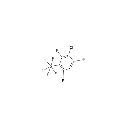 Fc1cc(F)c(S(F)(F)(F)(F)F)c(F)c1Cl